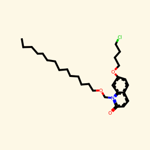 CCCCCCCCCCCCCCOCn1c(=O)ccc2ccc(OCCCCCl)cc21